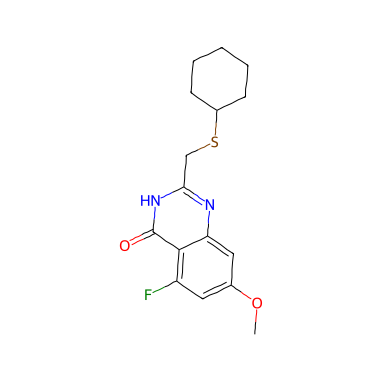 COc1cc(F)c2c(=O)[nH]c(CSC3CCCCC3)nc2c1